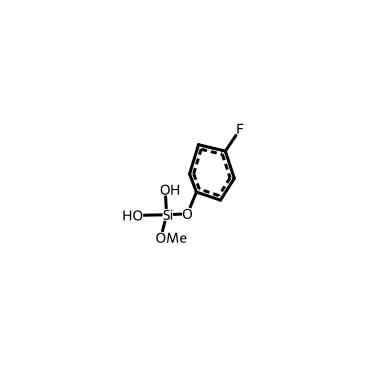 CO[Si](O)(O)Oc1ccc(F)cc1